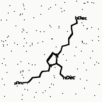 CCCCCCCCCCCCCCCCCN1C=CN(CCCCCCCCCCCCCCC)C1CCCCCCCCCCCC